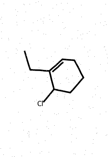 CCC1=CCCCC1Cl